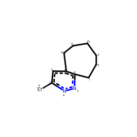 CCc1cc2c(nn1)CCCCCC2